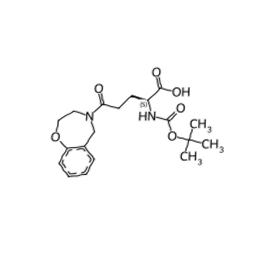 CC(C)(C)OC(=O)N[C@@H](CCC(=O)N1CCOc2ccccc2C1)C(=O)O